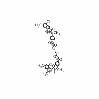 Cc1cc(Cl)c2c(C(=O)N[C@H](C)c3ccc(S(=O)(=O)CC(=O)OCCOC(=O)CS(=O)(=O)c4ccc([C@@H](C)NC(=O)c5cc6c(Cl)cc(C)cc6n5C)cc4)cc3)cn(C)c2c1